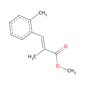 COC(=O)/C(C)=C/c1ccccc1C